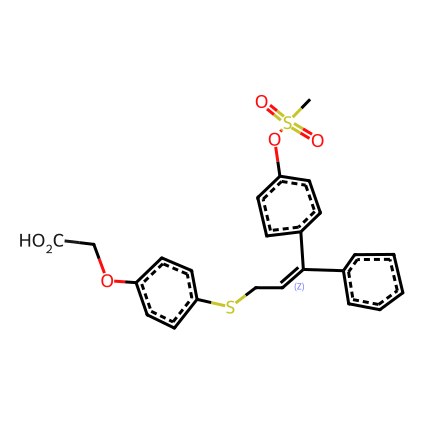 CS(=O)(=O)Oc1ccc(/C(=C\CSc2ccc(OCC(=O)O)cc2)c2ccccc2)cc1